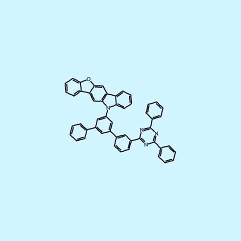 c1ccc(-c2cc(-c3cccc(-c4nc(-c5ccccc5)nc(-c5ccccc5)n4)c3)cc(-n3c4ccccc4c4cc5oc6ccccc6c5cc43)c2)cc1